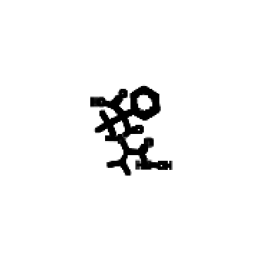 CC(C)[C@H](C(=O)NO)N(C)C(=O)C(C(=O)O)(c1ccccc1)C(C)(C)C